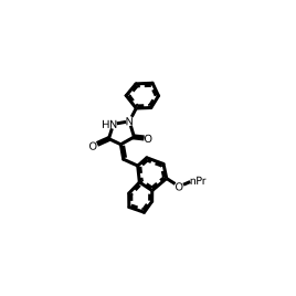 CCCOc1ccc(C=C2C(=O)NN(c3ccccc3)C2=O)c2ccccc12